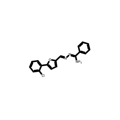 NC(=NN=Cc1ccc(-c2ccccc2Cl)o1)c1ccccc1